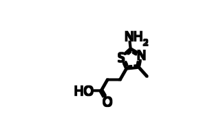 Cc1nc(N)sc1CCC(=O)O